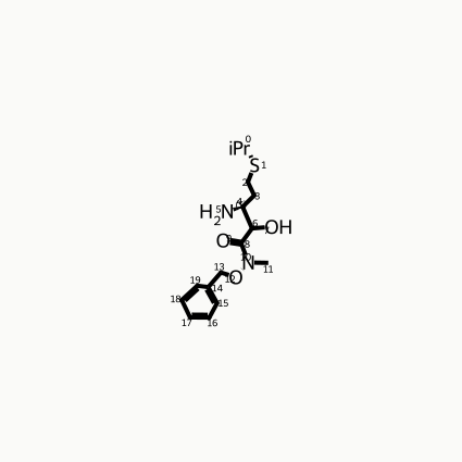 CC(C)SCC[C@H](N)C(O)C(=O)N(C)OCc1ccccc1